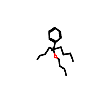 CCCCO[Si](CCCC)(CCCC)c1ccccc1